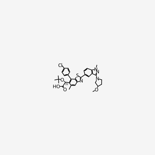 COC1CCN(c2nn(C)c3ccc(-c4nc5cc(C)c([C@H](OC(C)(C)C)C(=O)O)c(-c6ccc(Cl)cc6)c5s4)cc23)C1